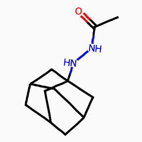 CC(=O)NNC12CC3CC(CC(C3)C1)C2